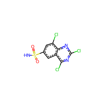 [NH]S(=O)(=O)c1cc(Cl)c2nc(Cl)nc(Cl)c2c1